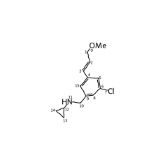 COCC=Cc1cc(Cl)cc(CNC2CC2)c1